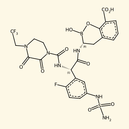 NS(=O)(=O)Nc1ccc(F)c([C@H](NC(=O)N2CCN(CC(F)(F)F)C(=O)C2=O)C(=O)N[C@H]2Cc3cccc(C(=O)O)c3OB2O)c1